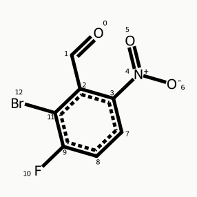 O=Cc1c([N+](=O)[O-])ccc(F)c1Br